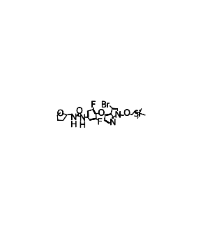 C[Si](C)(C)CCOCn1cc(Br)c2c(Oc3c(F)cc(NC(=O)NCC4CCCO4)cc3F)ccnc21